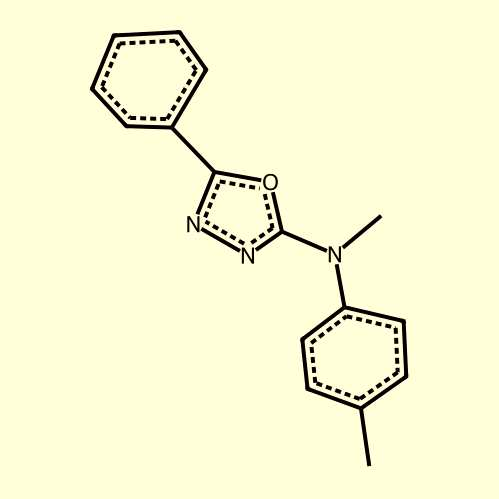 Cc1ccc(N(C)c2nnc(-c3ccccc3)o2)cc1